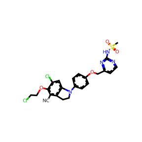 CS(=O)(=O)Nc1nccc(COc2ccc(N3CCc4c3cc(Cl)c(OCCCl)c4C#N)cc2)n1